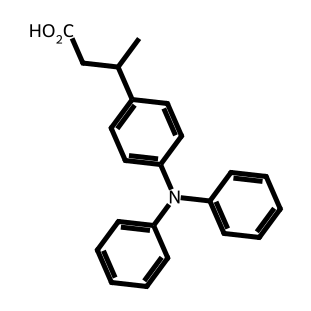 CC(CC(=O)O)c1ccc(N(c2ccccc2)c2ccccc2)cc1